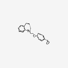 O=Cc1ccc(OCCN2CCCc3ccccc32)cc1